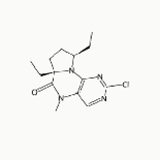 CC[C@@H]1CC[C@@]2(CC)C(=O)N(C)c3cnc(Cl)nc3N12